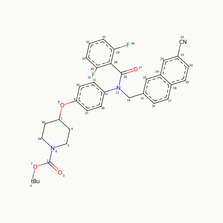 CC(C)(C)OC(=O)N1CCC(Oc2ccc(N(Cc3ccc4ccc(C#N)cc4c3)C(=O)c3c(F)cccc3F)cc2)CC1